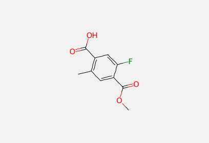 COC(=O)c1cc(C)c(C(=O)O)cc1F